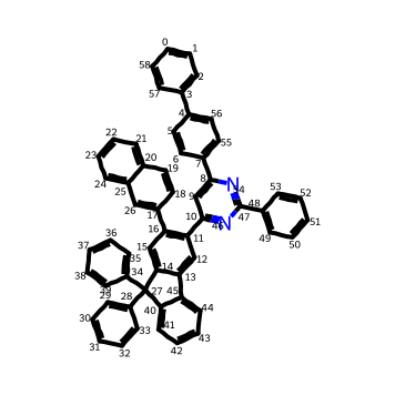 c1ccc(-c2ccc(-c3cc(-c4cc5c(cc4-c4ccc6ccccc6c4)C(c4ccccc4)(c4ccccc4)c4ccccc4-5)nc(-c4ccccc4)n3)cc2)cc1